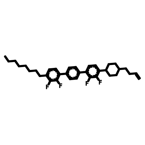 C=CCCC1CCC(c2ccc(-c3ccc(-c4ccc(CCCCCCCC)c(F)c4F)cc3)c(F)c2F)CC1